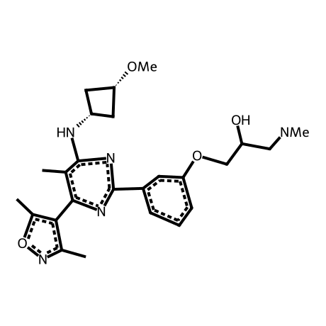 CNCC(O)COc1cccc(-c2nc(N[C@H]3C[C@@H](OC)C3)c(C)c(-c3c(C)noc3C)n2)c1